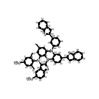 Cc1cc2c3c(c1)N(c1c(C)cc(C(C)(C)C)cc1C)c1c(sc4ccc(C(C)(C)C)cc14)B3c1ccc(-c3cc4ccccc4s3)cc1N2c1cccc(-c2cc3ccccc3s2)c1